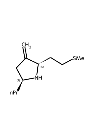 C=C1C[C@H](CCC)N[C@H]1CCSC